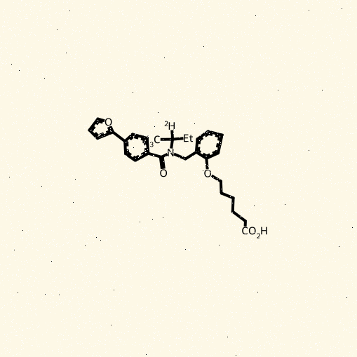 [2H]C(C)(CC)N(Cc1ccccc1OCCCCCC(=O)O)C(=O)c1ccc(-c2ccco2)cc1